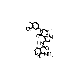 Cc1ccc(N2C[C@H](C)n3ncc(NC(=O)c4cccnc4N)c3C2=O)cc1Cl